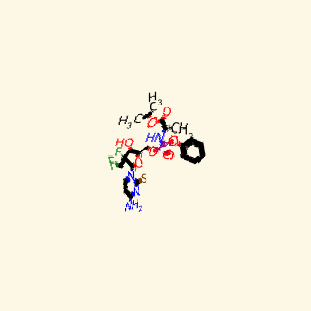 CC(C)OC(=O)[C@H](C)NP(=O)(OC[C@H]1O[C@@H](n2ccc(N)nc2=S)[C@@](F)(CF)C1O)Oc1ccccc1